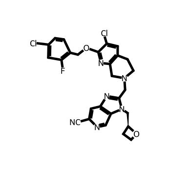 N#Cc1cc2nc(CN3CCc4cc(Cl)c(OCc5ccc(Cl)cc5F)nc4C3)n(C[C@@H]3CCO3)c2cn1